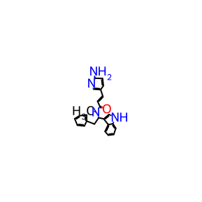 CN(C(=O)C=Cc1ccc(N)nc1)C(Cc1ccccc1)c1c[nH]c2ccccc12